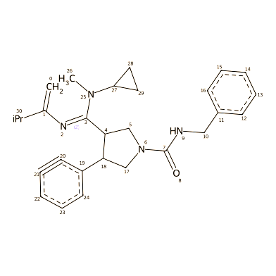 C=C(/N=C(/C1CN(C(=O)NCc2ccccc2)CC1c1c#cccc1)N(C)C1CC1)C(C)C